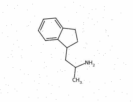 CC(N)CC1CCc2ccccc21